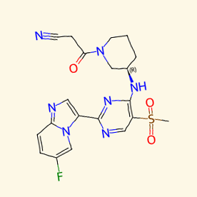 CS(=O)(=O)c1cnc(-c2cnc3ccc(F)cn23)nc1N[C@@H]1CCCN(C(=O)CC#N)C1